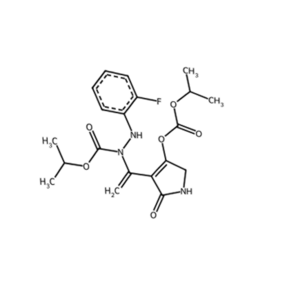 C=C(C1=C(OC(=O)OC(C)C)CNC1=O)N(Nc1ccccc1F)C(=O)OC(C)C